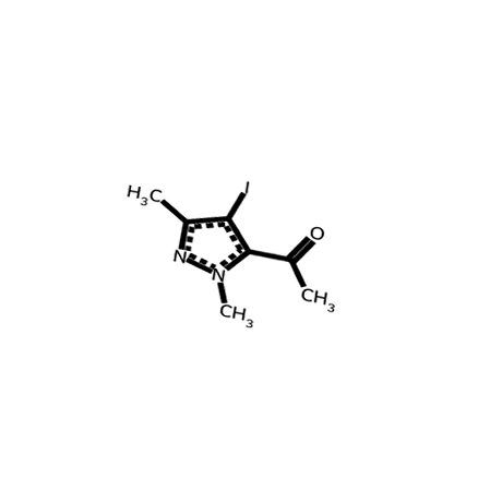 CC(=O)c1c(I)c(C)nn1C